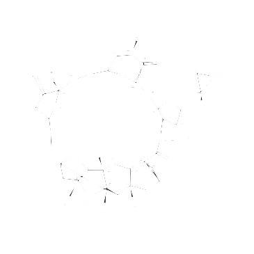 C=C1CC2CC[C@@]34C[C@H]5O[C@H]6[C@@H](O3)[C@H]3OC(CC[C@@H]3O[C@H]6C5O4)CC(=O)C[C@H]3C(C[C@H]4OC(CC[C@@H]1O2)C[C@@H](C)C4=C)O[C@H](C[C@H]1CO1)[C@@H]3C